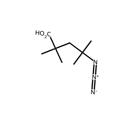 CC(C)(CC(C)(C)C(=O)O)N=[N+]=[N-]